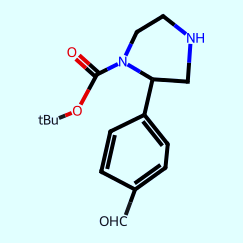 CC(C)(C)OC(=O)N1CCNCC1c1ccc(C=O)cc1